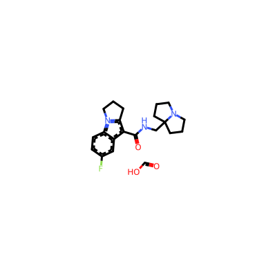 O=C(NCC12CCCN1CCC2)c1c2n(c3ccc(F)cc13)CCC2.O=CO